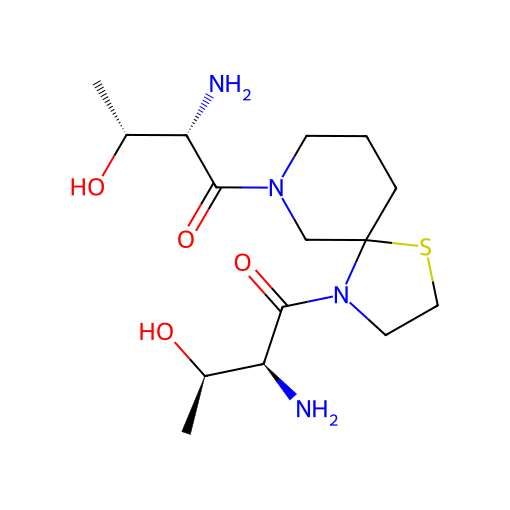 C[C@@H](O)[C@H](N)C(=O)N1CCCC2(C1)SCCN2C(=O)[C@@H](N)[C@@H](C)O